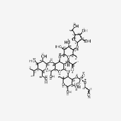 CC(=O)NC1C(OC2C(C)OC(O)C(O)C2OP(=O)(O)OCC=O)OC(CO)C(OC2OC(CO)C(C(C)C)C(O)C2O)C1OC1OC(C)C(OC2OC(CO)C(O)C2O)C(O)C1O